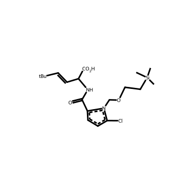 CC(C)(C)C=CC(NC(=O)c1ccc(Cl)n1COCC[Si](C)(C)C)C(=O)O